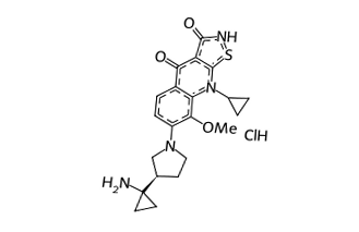 COc1c(N2CC[C@@H](C3(N)CC3)C2)ccc2c(=O)c3c(=O)[nH]sc3n(C3CC3)c12.Cl